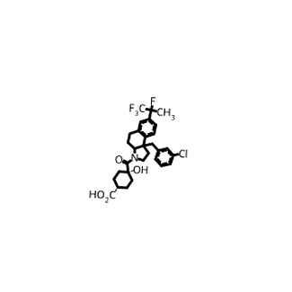 CC(F)(c1ccc2c(c1)CCC1N(C(=O)[C@]3(O)CC[C@@H](C(=O)O)CC3)CCC21Cc1cccc(Cl)c1)C(F)(F)F